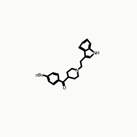 CCCCc1ccc(C(=O)C2CCN(CCc3c[nH]c4ccccc34)CC2)cc1